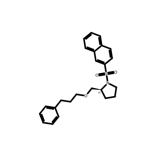 O=S(=O)(c1ccc2ccccc2c1)N1C[CH]C[C@H]1COCCCc1ccccc1